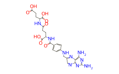 Nc1nc(N)c2nc(CNc3ccc(C(=O)NC(CCC(=O)NC(CCC(=O)O)C(=O)O)C(=O)O)cc3)cnc2n1